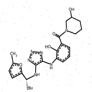 Cc1ccc([C@H](Nc2nsnc2Nc2cccc(C(=O)N3CCCC(O)C3)c2O)C(C)(C)C)o1